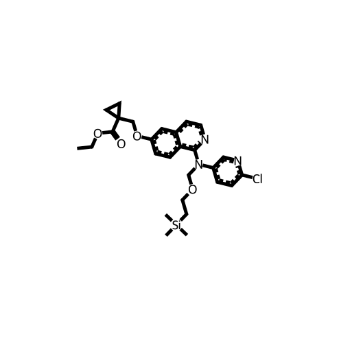 CCOC(=O)C1(COc2ccc3c(N(COCC[Si](C)(C)C)c4ccc(Cl)nc4)nccc3c2)CC1